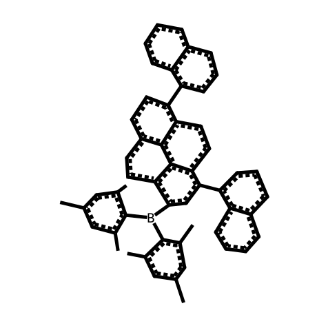 Cc1cc(C)c(B(c2c(C)cc(C)cc2C)c2cc(-c3cccc4ccccc34)c3ccc4c(-c5cccc6ccccc56)ccc5ccc2c3c54)c(C)c1